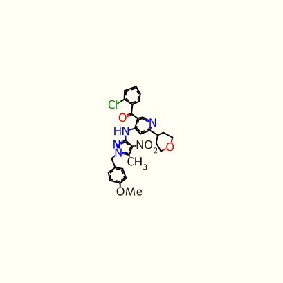 COc1ccc(Cn2nc(Nc3cc(C4CCOCC4)ncc3C(=O)c3ccccc3Cl)c([N+](=O)[O-])c2C)cc1